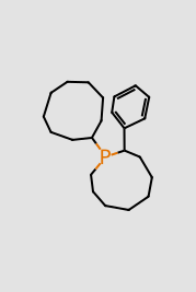 c1ccc(C2CCCCCCCP2C2CCCCCCCC2)cc1